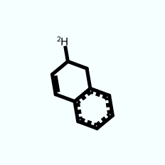 [2H]C1C=Cc2ccccc2C1